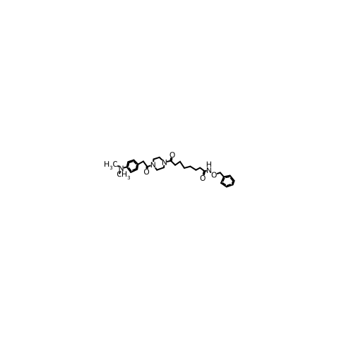 CN(C)c1ccc(CC(=O)N2CCN(C(=O)CCCCCCC(=O)NOCc3ccccc3)CC2)cc1